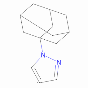 [c]1cnn(C23CC4CC(CC(C4)C2)C3)c1